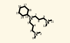 CN(C)CCCN(CCCN(C)C)C1CCCCC1